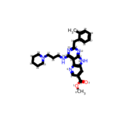 COC(=O)c1cnc2c(c1)[nH]c1nc(Cc3ccccc3C)nc(NCCCN3CCCCC3)c12